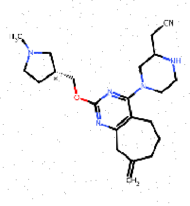 C=C1CCCc2c(nc(OC[C@@H]3CCN(C)C3)nc2N2CCNC(CC#N)C2)C1